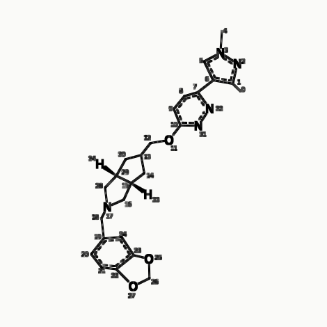 Cc1nn(C)cc1-c1ccc(OCC2C[C@@H]3CN(Cc4ccc5c(c4)OCO5)C[C@@H]3C2)nn1